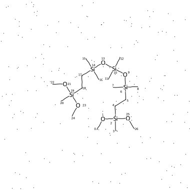 CO[Si](C)(CC[Si](C)(C)O[Si](C)(C)O[Si](C)(C)CC[Si](C)(OC)OC)OC